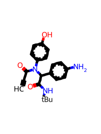 C#CC(=O)N(c1ccc(O)cc1)C(C(=O)NC(C)(C)C)c1ccc(N)cc1